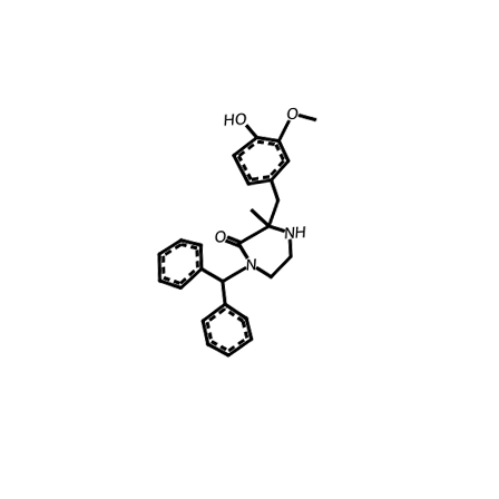 COc1cc(CC2(C)NCCN(C(c3ccccc3)c3ccccc3)C2=O)ccc1O